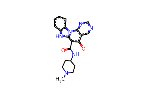 CN1CCC(NC(=O)c2c(=O)c3cncnc3n3c2[nH]c2ccccc23)CC1